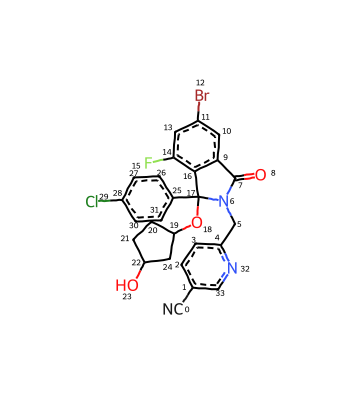 N#Cc1ccc(CN2C(=O)c3cc(Br)cc(F)c3C2(OC2CCC(O)C2)c2ccc(Cl)cc2)nc1